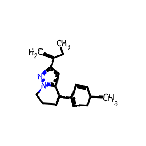 C=C(CC)c1cc2n(n1)CCCC2C1=CCC(C)C=C1